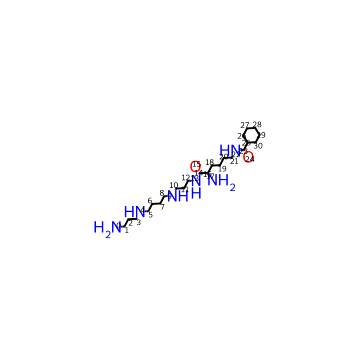 NCCCNCCCCNCCCNC(=O)[C@H](N)CCCCNC(=O)C1CCCCC1